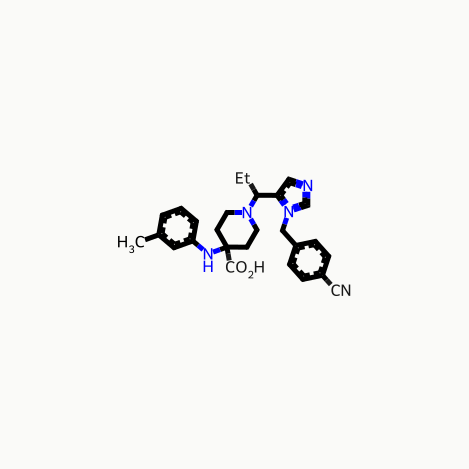 CCC(c1cncn1Cc1ccc(C#N)cc1)N1CCC(Nc2cccc(C)c2)(C(=O)O)CC1